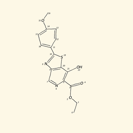 CCOC(=O)c1ncc2nc(-c3ccc(OC)cc3)sc2c1O